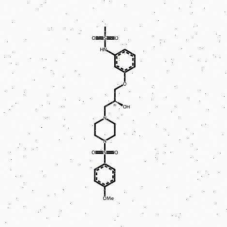 COc1ccc(S(=O)(=O)N2CCN(C[C@H](O)COc3cccc(NS(C)(=O)=O)c3)CC2)cc1